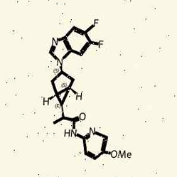 COc1ccc(NC(=O)C(C)[C@H]2[C@@H]3C[C@@H](n4cnc5cc(F)c(F)cc54)C[C@@H]32)nc1